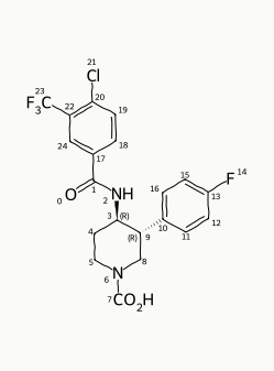 O=C(N[C@@H]1CCN(C(=O)O)C[C@H]1c1ccc(F)cc1)c1ccc(Cl)c(C(F)(F)F)c1